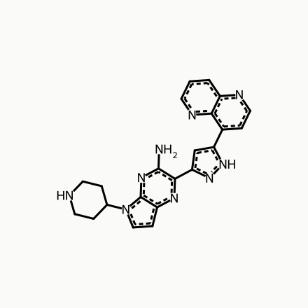 Nc1nc2c(ccn2C2CCNCC2)nc1-c1cc(-c2ccnc3cccnc23)[nH]n1